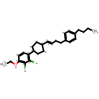 CCCCc1ccc(CC/C=C/C2CCC(c3ccc(OCC)c(F)c3F)CC2)cc1